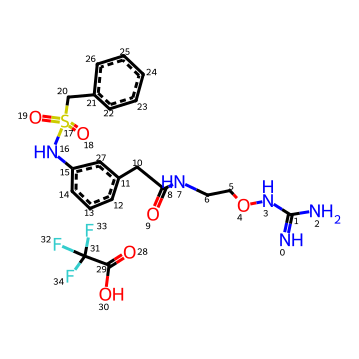 N=C(N)NOCCNC(=O)Cc1cccc(NS(=O)(=O)Cc2ccccc2)c1.O=C(O)C(F)(F)F